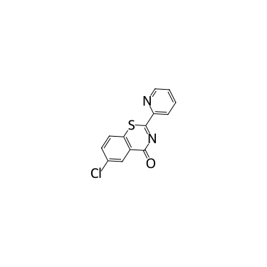 O=c1nc(-c2ccccn2)sc2ccc(Cl)cc12